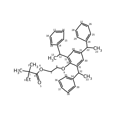 CCC(C)(C)C(=O)OCCOc1c(C(C)c2ccccc2)cc(C(C)c2ccccc2)cc1C(C)c1ccccc1